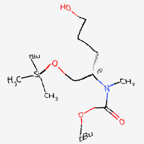 CN(C(=O)OC(C)(C)C)[C@@H](CCCO)CO[Si](C)(C)C(C)(C)C